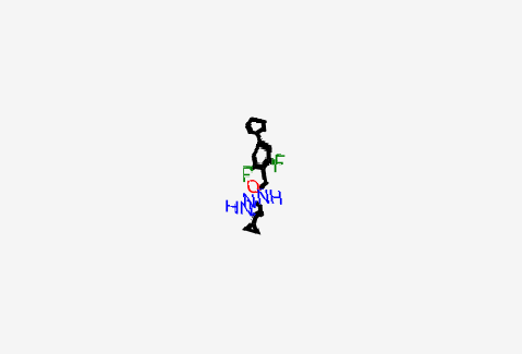 O=C(Cc1c(F)cc(-c2ccccc2)cc1F)Nc1cc(C2CC2)[nH]n1